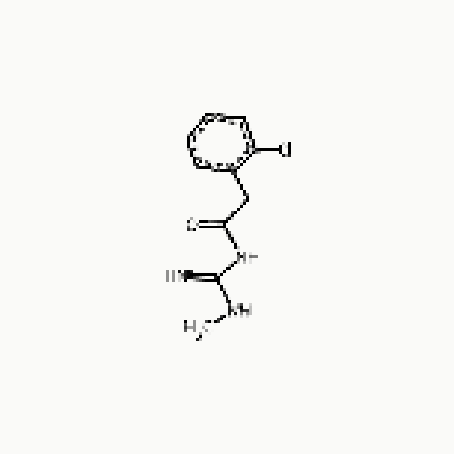 CNC(=N)NC(=O)Cc1ccccc1Cl